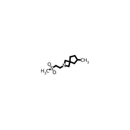 CC1CCC2(C1)CN(CCS(C)(=O)=O)C2